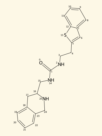 O=C(NCCc1cc2ccccc2s1)NCC1Cc2ccccc2CN1